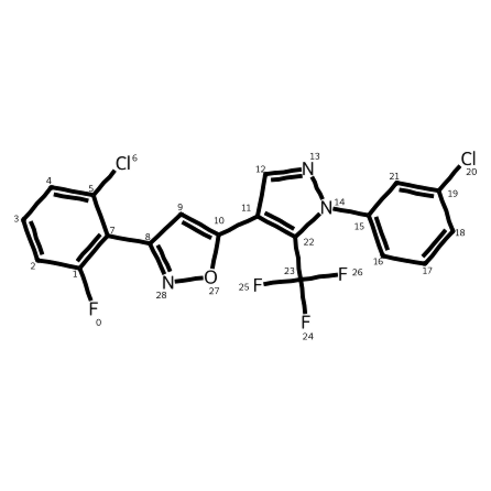 Fc1cccc(Cl)c1-c1cc(-c2cnn(-c3cccc(Cl)c3)c2C(F)(F)F)on1